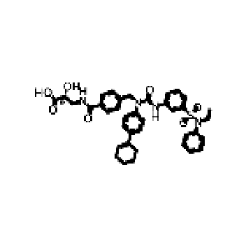 CCN(c1ccccc1)S(=O)(=O)c1cccc(NC(=O)N(Cc2ccc(C(=O)NC[C@@H](O)C(=O)O)cc2)c2ccc(C3=CCCCC3)cc2)c1